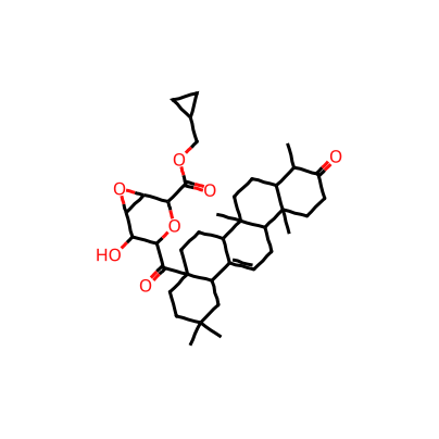 CC1C(=O)CCC2(C)C1CCC1(C)C3CCC4(C(=O)C5OC(C(=O)OCC6CC6)C6OC6C5O)CCC(C)(C)CC4C3=CCC12